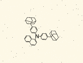 c1ccc2c(N(c3ccc(C45CC6CC(CC(C6)C4)C5)cc3)c3ccc(C45CC6CC(CC(C6)C4)C5)cc3)cccc2c1